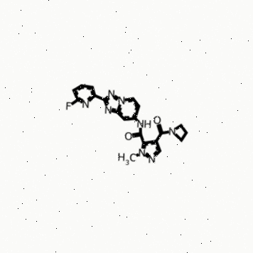 Cn1ncc(C(=O)N2CCC2)c1C(=O)Nc1ccn2nc(-c3cccc(F)n3)nc2c1